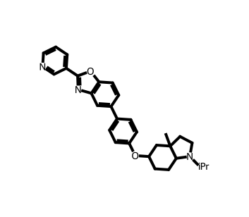 CC(C)N1CCC2(C)CC(Oc3ccc(-c4ccc5oc(-c6cccnc6)nc5c4)cc3)CCC12